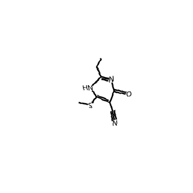 CCc1nc(=O)c(C#N)c(SC)[nH]1